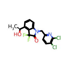 C[C@H](O)c1cccc2c1C(F)(F)C(=O)N2Cc1ccc(Cl)c(Cl)n1